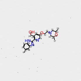 Cc1ccc2[nH]c(-c3ncc(OCCN4CC(C)OC(C)C4)cc3CO)nc2c1